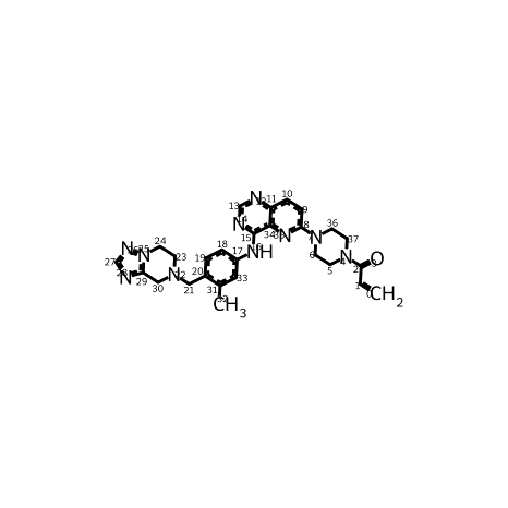 C=CC(=O)N1CCN(c2ccc3ncnc(Nc4ccc(CN5CCn6ncnc6C5)c(C)c4)c3n2)CC1